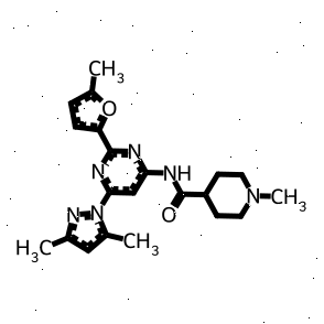 Cc1cc(C)n(-c2cc(NC(=O)C3CCN(C)CC3)nc(-c3ccc(C)o3)n2)n1